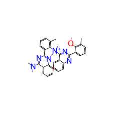 COc1c(C)cccc1-c1nc([N+](C)(C)c2c(C)cccc2-c2nc(N(C)C)c3ccccc3n2)c2ccccc2n1